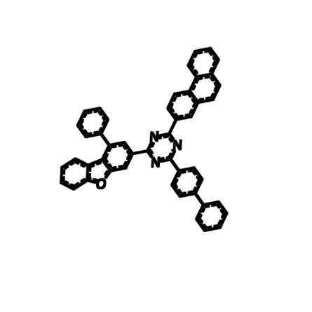 c1ccc(-c2ccc(-c3nc(-c4ccc5c(ccc6ccccc65)c4)nc(-c4cc(-c5ccccc5)c5c(c4)oc4ccccc45)n3)cc2)cc1